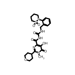 Cn1c(C2CCOCC2)nc(C(=O)NC(=O)NCc2ccccc2N2CCCCS2(=O)=O)c(O)c1=O